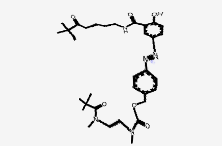 CN(CCN(C)C(=O)C(C)(C)C)C(=O)OCc1ccc(/N=N/c2ccc(O)c(C(=O)NCCCCC(=O)C(C)(C)C)c2)cc1